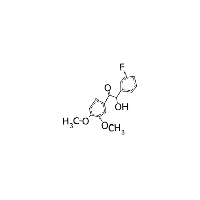 COc1ccc(C(=O)C(O)c2cccc(F)c2)cc1OC